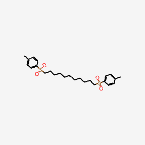 Cc1ccc(S(=O)(=O)CCCCCCCCCCCS(=O)(=O)c2ccc(C)cc2)cc1